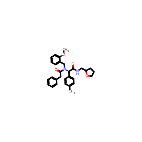 COc1ccccc1CN(C(=O)Cc1ccccc1)[C@@H](C(=O)NCC1CCCO1)c1ccc(C)cc1